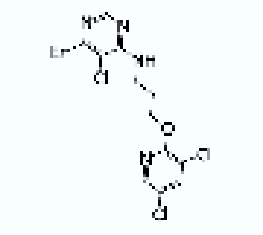 CCc1ncnc(NCCCOc2ncc(Cl)cc2Cl)c1Cl